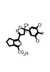 O=C(O)c1sc(C2=NO[C@@](c3cc(Cl)c(F)c(Cl)c3)(C(F)(F)F)C2)c2c1CCC2